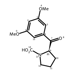 COc1cc(OC)cc(C(=O)[C@H]2CCCN2C(=O)O)c1